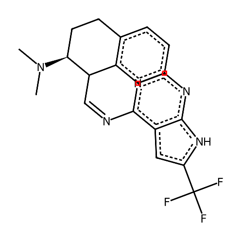 CN(C)[C@H]1CCc2ccccc2C1/C=N\c1ncnc2[nH]c(C(F)(F)F)cc12